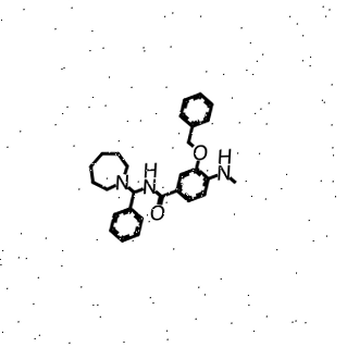 CNc1ccc(C(=O)NC(c2ccccc2)N2CCCCCC2)cc1OCc1ccccc1